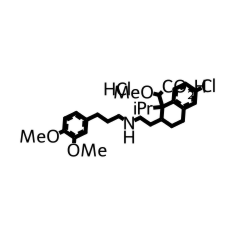 COc1ccc(CCCNCCC2CCc3cc(Cl)ccc3C2(C(C)C)C(OC)C(=O)O)cc1OC.Cl